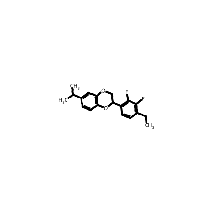 CCc1ccc(C2COc3cc(C(C)C)ccc3O2)c(F)c1F